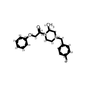 CC1CN(Cc2ccc(F)cc2)CCN1C(=O)COc1ccccc1